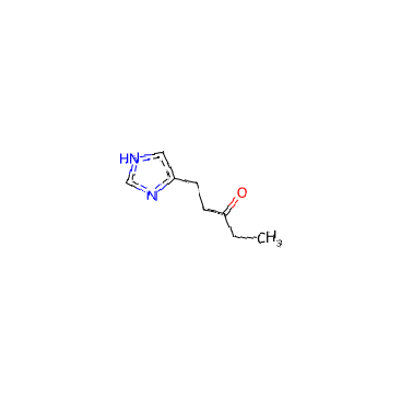 CCC(=O)CCc1c[nH]cn1